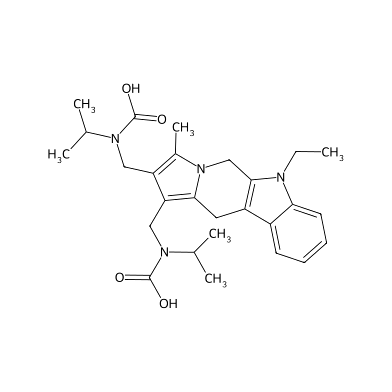 CCn1c2c(c3ccccc31)Cc1c(CN(C(=O)O)C(C)C)c(CN(C(=O)O)C(C)C)c(C)n1C2